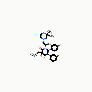 CCC(CN1CCOC(C)(C)C1)N1C(=O)[C@@](C)(CC(=O)O)C[C@H](c2cccc(Cl)c2)[C@H]1c1ccc(Cl)cc1